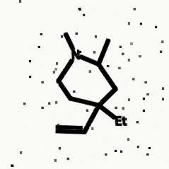 C=CC1(CC)CCN(C)C(C)C1